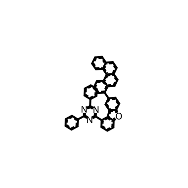 c1ccc(-c2nc(-c3ccccc3)nc(-c3cccc4oc5ccc(-c6cccc7c6ccc6ccc8ccccc8c67)cc5c34)n2)cc1